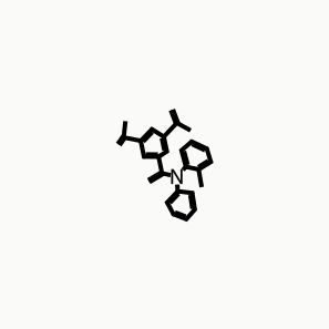 C=C(C)c1cc(C(=C)C)cc(C(=C)N(c2ccccc2)c2ccccc2C)c1